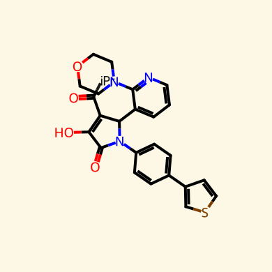 CC(C)C(=O)C1=C(O)C(=O)N(c2ccc(-c3ccsc3)cc2)C1c1cccnc1N1CCOCC1